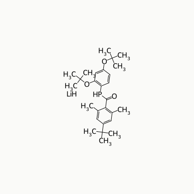 Cc1cc(C(C)(C)C)cc(C)c1C(=O)Pc1ccc(OC(C)(C)C)cc1OC(C)(C)C.[LiH]